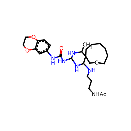 CC(=O)NCCCNC1NC(NC(=O)Nc2ccc3c(c2)OCCO3)NC(C)C12CCCCCCCC2